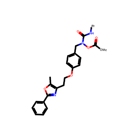 COC(=O)ON(Cc1ccc(OCCc2nc(-c3ccccc3)oc2C)cc1)C(=O)NC(C)C